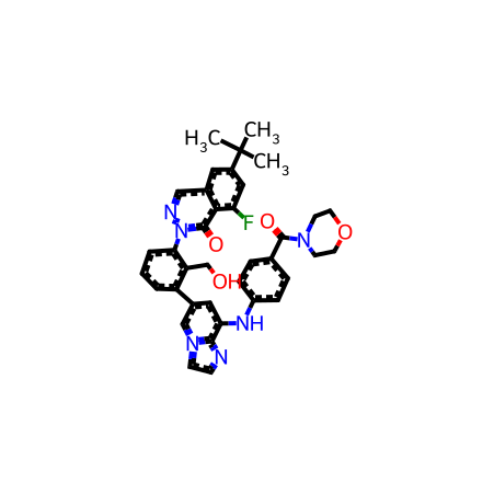 CC(C)(C)c1cc(F)c2c(=O)n(-c3cccc(-c4cc(Nc5ccc(C(=O)N6CCOCC6)cc5)c5nccn5c4)c3CO)ncc2c1